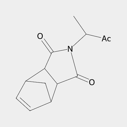 CC(=O)C(C)N1C(=O)C2C3C=CC(C3)C2C1=O